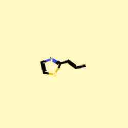 C/C=C/c1nccs1